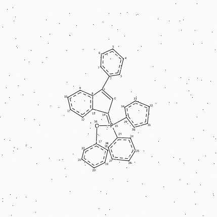 C1=C(c2ccccc2)c2ccccc2C1=P(Oc1ccccc1)(c1ccccc1)c1ccccc1